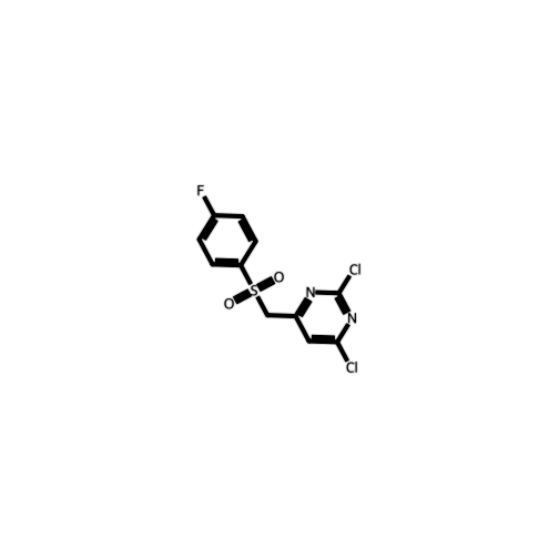 O=S(=O)(Cc1cc(Cl)nc(Cl)n1)c1ccc(F)cc1